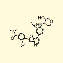 COc1cc(C(=O)N(C)C)ccc1-c1cc2nccc(-c3ccc(NC4CCOCC4O)c(C#N)c3)c2o1